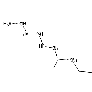 BBBBBBC(C)BCC